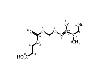 CCC(C)CN(C)[N+]([O-])=NOCOC(=O)OCCC(=O)O